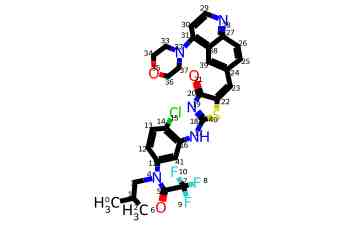 CC(C)CN(C(=O)C(F)(F)F)c1ccc(Cl)c(NC2=NC(=O)C(=Cc3ccc4nccc(N5CCOCC5)c4c3)S2)c1